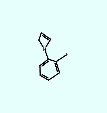 Fc1ccccc1N1C=CC1